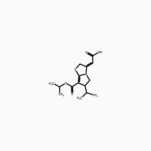 CC(C)OC(=O)C1=C2SC/C(=C\C(=O)O)N2CC1C(C)C